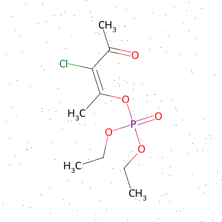 CCOP(=O)(OCC)O/C(C)=C(/Cl)C(C)=O